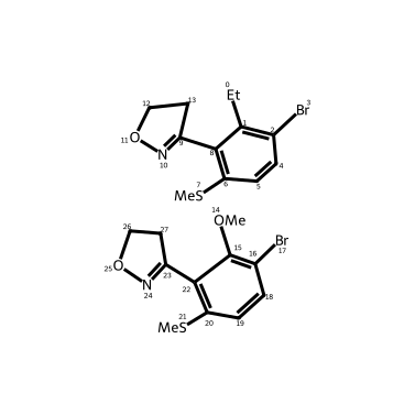 CCc1c(Br)ccc(SC)c1C1=NOCC1.COc1c(Br)ccc(SC)c1C1=NOCC1